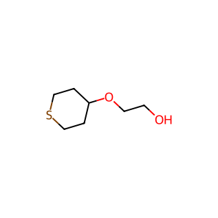 OCCOC1CCSCC1